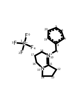 F[B-](F)(F)F.c1ccc(C[N+]2=C3CCCN3CCC2)cc1